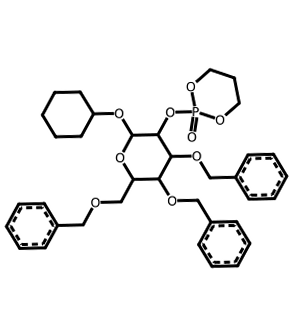 O=P1(OC2C(OC3CCCCC3)OC(COCc3ccccc3)C(OCc3ccccc3)C2OCc2ccccc2)OCCCO1